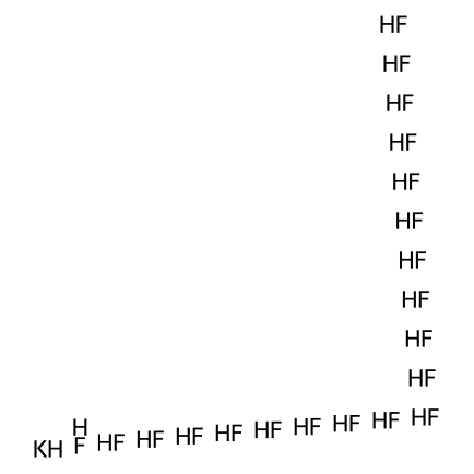 F.F.F.F.F.F.F.F.F.F.F.F.F.F.F.F.F.F.F.F.[KH]